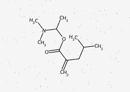 C=C(CC(C)C)C(=O)OC(C)N(C)C